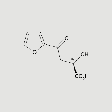 O=C(C[C@@H](O)C(=O)O)c1ccco1